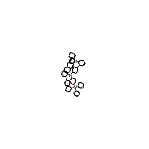 c1ccc(-c2cc(N(c3ccc([Si](c4ccccc4)(c4ccccc4)c4ccccc4)cc3)c3ccccc3-c3ccccc3)ccc2-c2ccccc2-n2c3ccccc3c3cc4ccccc4cc32)cc1